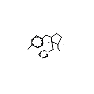 C[C@@]1(CCl)CCC(Cc2ccc(Cl)cc2)[C@@]1(O)Cn1cncn1